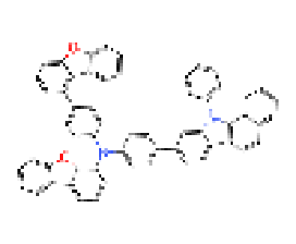 c1ccc(-n2c3cc(-c4ccc(N(c5ccc(-c6cccc7oc8ccccc8c67)cc5)c5cccc6c5oc5ccccc56)cc4)ccc3c3ccc4ccccc4c32)cc1